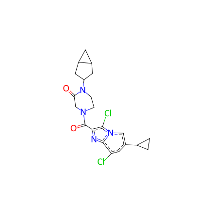 O=C(c1nc2c(Cl)cc(C3CC3)cn2c1Cl)N1CCN(C2CC3CC3C2)C(=O)C1